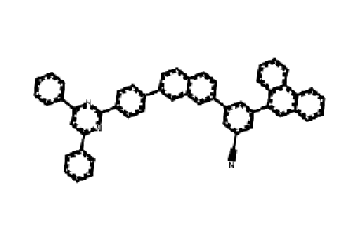 N#Cc1cc(-c2ccc3ccc(-c4ccc(-c5nc(-c6ccccc6)cc(-c6ccccc6)n5)cc4)cc3c2)cc(-c2cc3ccccc3c3ccccc23)c1